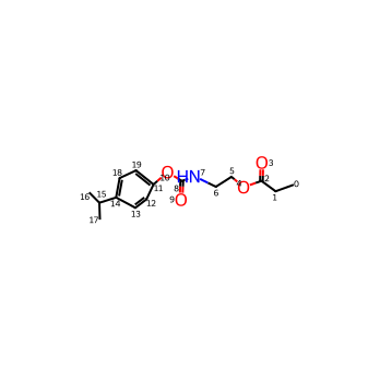 CCC(=O)OCCNC(=O)Oc1ccc(C(C)C)cc1